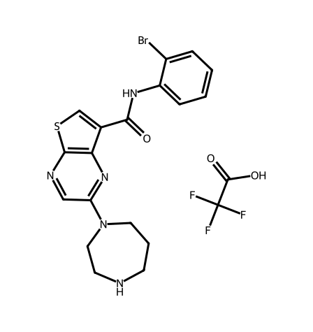 O=C(Nc1ccccc1Br)c1csc2ncc(N3CCCNCC3)nc12.O=C(O)C(F)(F)F